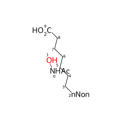 CC(=O)NO.CCCCCCCCCCCCCCCC(=O)O